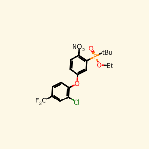 CCOP(=O)(c1cc(Oc2ccc(C(F)(F)F)cc2Cl)ccc1[N+](=O)[O-])C(C)(C)C